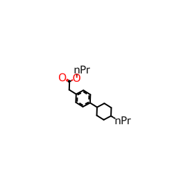 CCCOC(=O)Cc1ccc(C2CCC(CCC)CC2)cc1